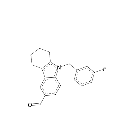 O=Cc1ccc2c(c1)c1c(n2Cc2cccc(F)c2)CCCC1